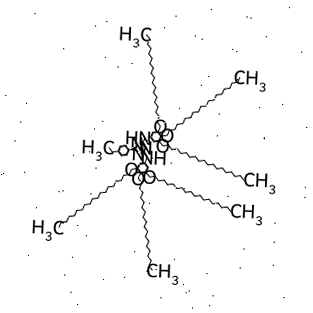 CCCCCCCCCCCCCCCCCCCOc1cc(Nc2nc(Nc3cc(OCCCCCCCCCCCCCCCCCCC)c(OCCCCCCCCCCCCCCCCCCC)c(OCCCCCCCCCCCCCCCCCCC)c3)nc(-c3ccc(CC)cc3)n2)cc(OCCCCCCCCCCCCCCCCCCC)c1OCCCCCCCCCCCCCCCCCCC